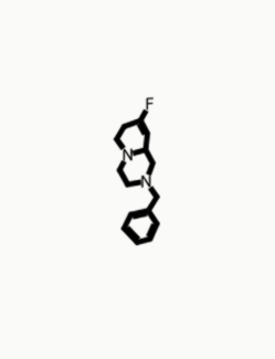 FC1=CC2CN(Cc3ccccc3)CCN2CC1